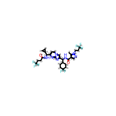 Cc1c(C(=O)NC(c2cn3ccc(C(NC(=O)CCC(F)(F)F)C4CC4)nc3n2)C2CCC(F)(F)CC2)cnn1CCC(F)(F)F